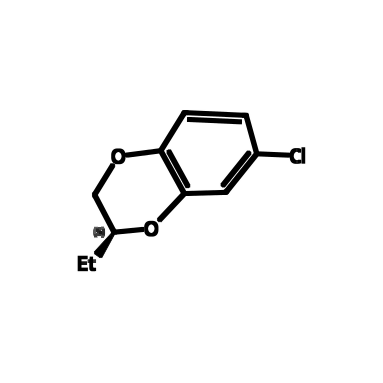 CC[C@H]1COc2ccc(Cl)cc2O1